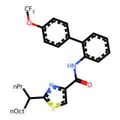 CCCCCCCCC(CCC)c1nc(C(=O)Nc2ccccc2-c2ccc(OC(F)(F)F)cc2)cs1